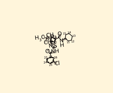 CC(C)(C)n1nc(C(=O)NC2CCCCC2)c2sc(NC(=O)c3cccc(Cl)c3)nc21